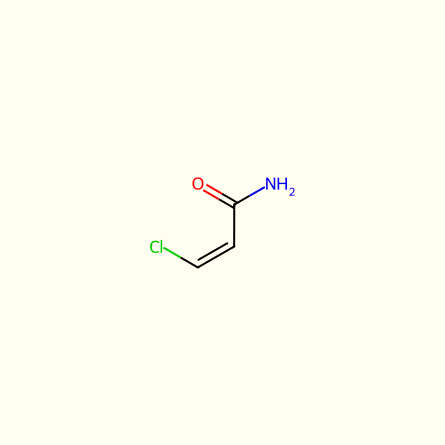 NC(=O)/C=C\Cl